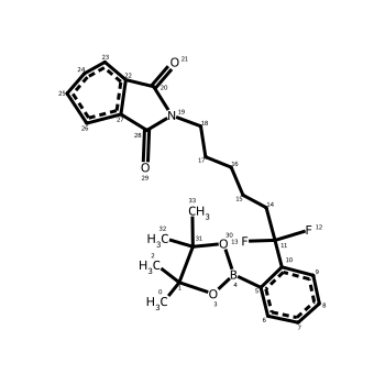 CC1(C)OB(c2ccccc2C(F)(F)CCCCCN2C(=O)c3ccccc3C2=O)OC1(C)C